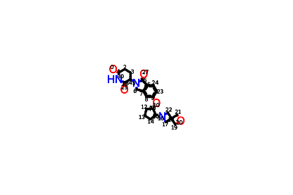 O=C1CCC(N2Cc3cc(O[C@H]4CCC[C@H]4N4CC5(COC5)C4)ccc3C2=O)C(=O)N1